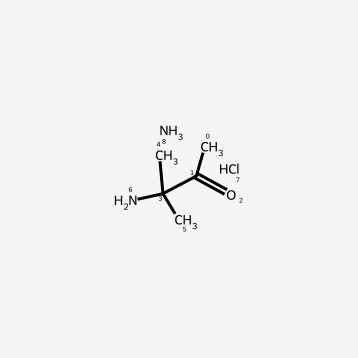 CC(=O)C(C)(C)N.Cl.N